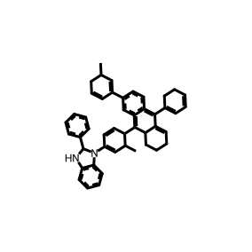 CC1C=C(c2ccc3c(c2)=C(C2C=CC(N4c5ccccc5NC4c4ccccc4)=CC2C)C2CCCC=C2C=3C2=CC=CCC2)C=CC1